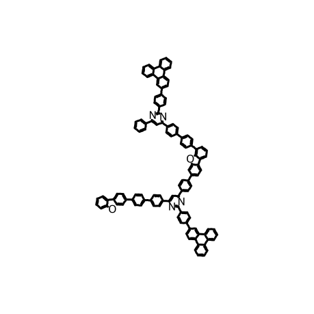 c1ccc(-c2cc(-c3ccc(-c4ccc(-c5cccc6c5oc5cc(-c7ccc(-c8cc(-c9ccc(-c%10ccc(-c%11ccc%12c(c%11)oc%11ccccc%11%12)cc%10)cc9)nc(-c9ccc(-c%10ccc%11c%12ccccc%12c%12ccccc%12c%11c%10)cc9)n8)cc7)ccc56)cc4)cc3)nc(-c3ccc(-c4ccc5c6ccccc6c6ccccc6c5c4)cc3)n2)cc1